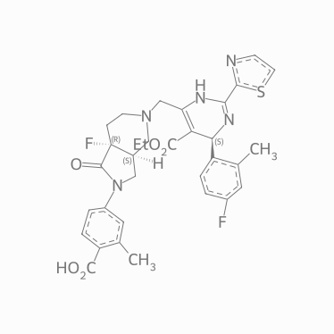 CCOC(=O)C1=C(CN2CC[C@]3(F)C(=O)N(c4ccc(C(=O)O)c(C)c4)C[C@@H]3C2)NC(c2nccs2)=N[C@H]1c1ccc(F)cc1C